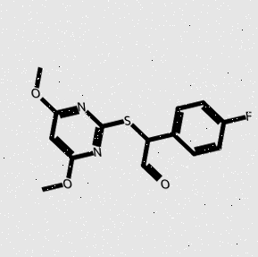 COc1cc(OC)nc(SC(C=O)c2ccc(F)cc2)n1